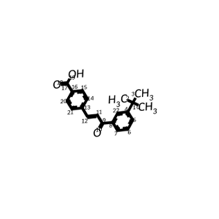 CC(C)(C)c1cccc(C(=O)C=Cc2ccc(C(=O)O)cc2)c1